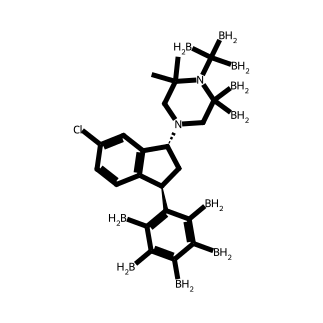 Bc1c(B)c(B)c([C@@H]2C[C@@H](N3CC(B)(B)N(C(B)(B)B)C(C)(C)C3)c3cc(Cl)ccc32)c(B)c1B